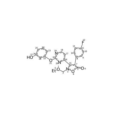 CCOCn1oc(=O)c(-c2ccc(F)cc2)c1-c1ccnc(Oc2cccc(O)c2)n1